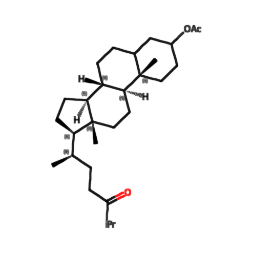 CC(=O)OC1CC[C@@]2(C)C(CC[C@H]3[C@@H]4CC[C@H]([C@H](C)CCC(=O)C(C)C)[C@@]4(C)CC[C@@H]32)C1